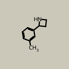 Cc1cccc(C2CCN2)c1